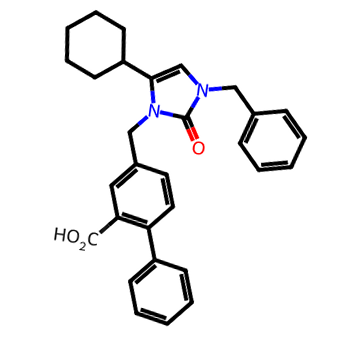 O=C(O)c1cc(Cn2c(C3CCCCC3)cn(Cc3ccccc3)c2=O)ccc1-c1ccccc1